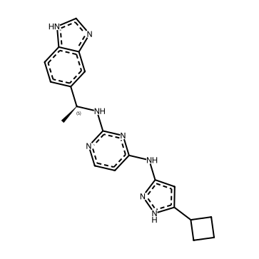 C[C@H](Nc1nccc(Nc2cc(C3CCC3)[nH]n2)n1)c1ccc2[nH]cnc2c1